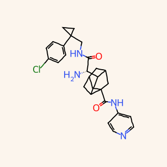 N[C@H](C(=O)NCC1(c2ccc(Cl)cc2)CC1)C1C2CC3CC1C(C(=O)Nc1ccncc1)(C3)C2